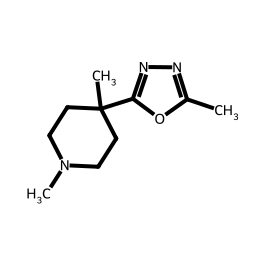 Cc1nnc(C2(C)CCN(C)CC2)o1